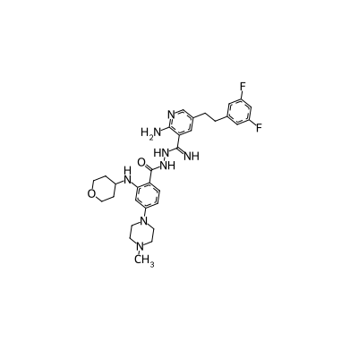 CN1CCN(c2ccc(C(=O)NNC(=N)c3cc(CCc4cc(F)cc(F)c4)cnc3N)c(NC3CCOCC3)c2)CC1